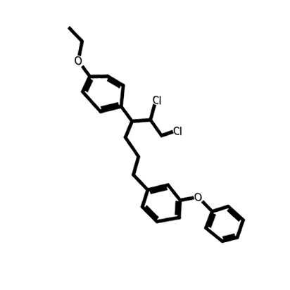 CCOc1ccc(C(CCCc2cccc(Oc3ccccc3)c2)C(Cl)CCl)cc1